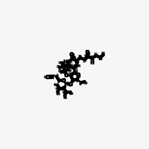 [C-]#[N+]CCOP(OC1[C@@H](CC)O[C@@H](c2cn(CCC(=O)NCCC)c(=O)[nH]c2=O)[C@H]1O[Si](C)(C)C(C)(C)C)N(C(C)C)C(C)C